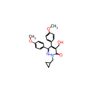 COc1ccc(-c2nn(CC3CC3)c(=O)c(CO)c2-c2ccc(OC)cc2)cc1